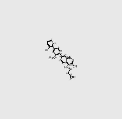 COc1cc(-c2ncccc2F)ccc1-c1ccc2c(NCCC3CC3)c(C#N)nnc2c1